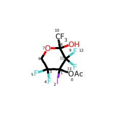 CC(=O)OC1(I)C(F)(F)COC(O)(C(F)(F)F)C1(F)F